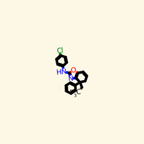 FC(F)(F)CC1(c2ccccc2)CC=Cc2oc(Nc3ccc(Cl)cc3)nc21